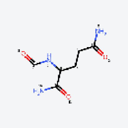 NC(=O)CCC(NC=O)C(N)=O